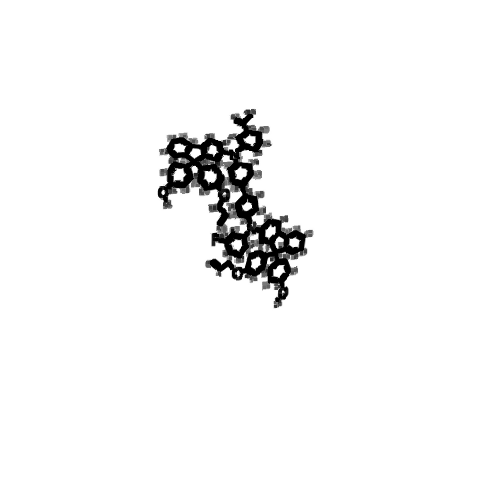 C=CCOc1ccc(C2(c3ccc(OC)cc3)c3ccccc3-c3ccc(N(c4ccc(-c5ccc(N(c6cccc(C(=C)C)c6)c6ccc7c(c6)C(c6ccc(OC)cc6)(c6ccc(OCC=C)cc6)c6ccccc6-7)cc5)cc4)c4cccc(F)c4)cc32)cc1